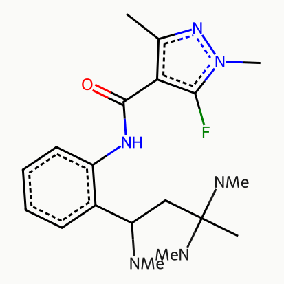 CNC(CC(C)(NC)NC)c1ccccc1NC(=O)c1c(C)nn(C)c1F